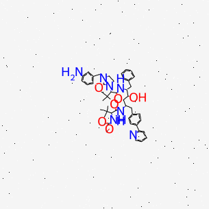 COC(=O)NC(C(=O)NC(Cc1ccc(-c2ccccn2)cc1)CC(O)C(Cc1ccccc1)NC(=O)C(N1CCN(Cc2cccc(N)c2)C1=O)C(C)(C)C)C(C)(C)C